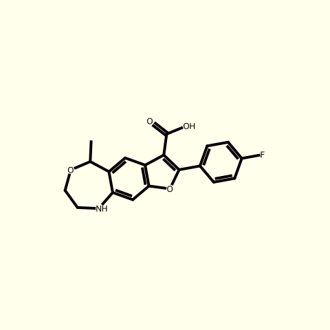 CC1OCCNc2cc3oc(-c4ccc(F)cc4)c(C(=O)O)c3cc21